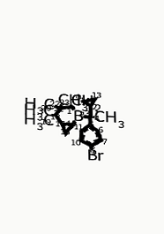 C=C1B([C@@](C)(c2ccc(Br)cc2)C2CC2)C2CC2C(C)(C)C1(C)C